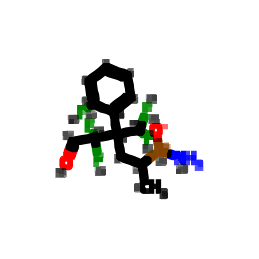 CC(CC(c1ccccc1F)(C(F)F)C(F)(F)C=O)[S+](N)[O-]